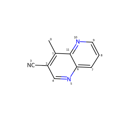 Cc1c(C#N)cnc2cccnc12